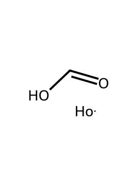 O=CO.[Ho]